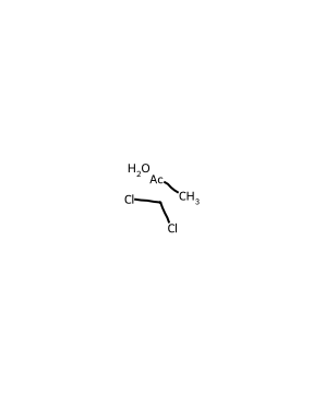 CC(C)=O.ClCCl.O